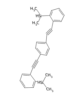 C[SiH](C)c1ccccc1C#Cc1ccc(C#Cc2ccccc2[SiH](C)C)cc1